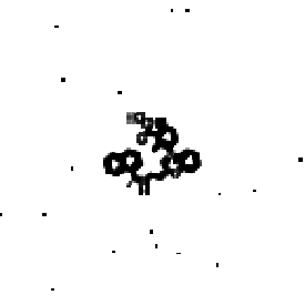 Cc1ccc(N2CC(CCN[C@H](C)c3cccc4ccccc34)Oc3ccccc32)c(C)c1C(=O)O.Cl